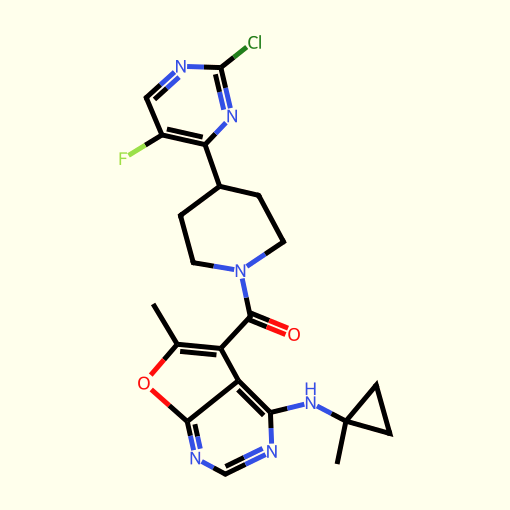 Cc1oc2ncnc(NC3(C)CC3)c2c1C(=O)N1CCC(c2nc(Cl)ncc2F)CC1